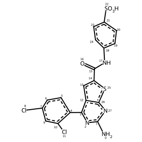 Nc1nc(-c2ccc(Cl)cc2Cl)c2cc(C(=O)Nc3ccc(S(=O)(=O)O)cc3)sc2n1